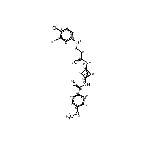 O=C(CCOc1ccc(Cl)c(F)c1)NC12CC(NC(=O)c3ccc(OC(F)(F)F)cn3)(C1)C2